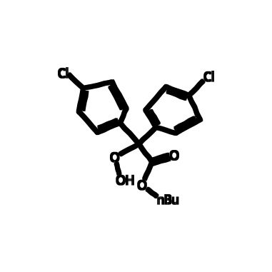 CCCCOC(=O)C(OO)(c1ccc(Cl)cc1)c1ccc(Cl)cc1